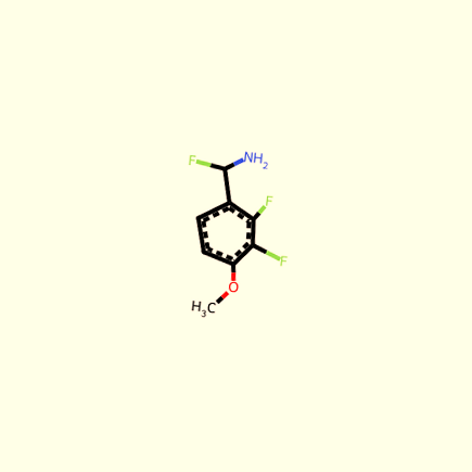 COc1ccc(C(N)F)c(F)c1F